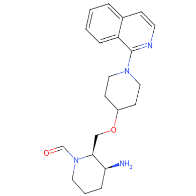 N[C@H]1CCCN(C=O)[C@H]1COC1CCN(c2nccc3ccccc23)CC1